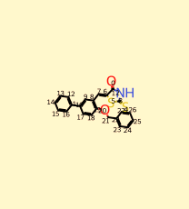 O=C1NC(=S)S/C1=C\c1cc(-c2ccccc2)ccc1OCc1ccccc1